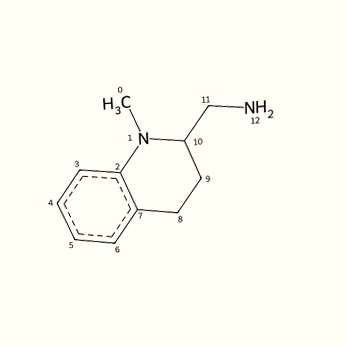 CN1c2ccccc2CCC1CN